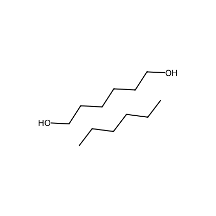 CCCCCC.OCCCCCCO